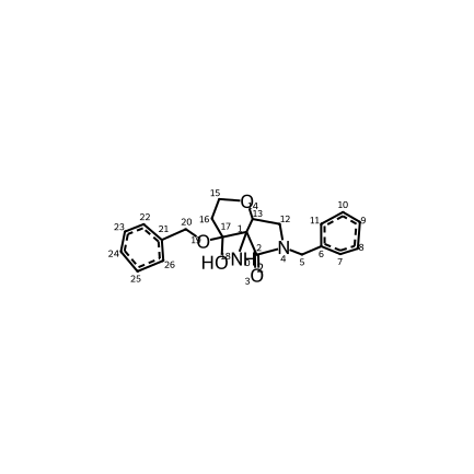 NC12C(=O)N(Cc3ccccc3)CC1OCCC2(O)OCc1ccccc1